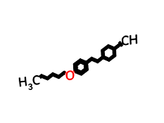 C#CC1CCC(CCc2ccc(OCCCCCC)cc2)CC1